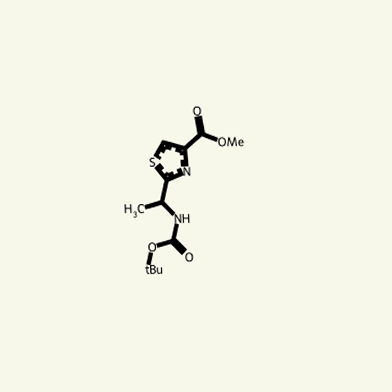 COC(=O)c1csc(C(C)NC(=O)OC(C)(C)C)n1